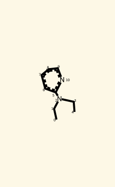 CCN(CC)c1cc[c]cn1